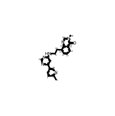 Cc1ccc(-c2cc(NCCc3cccc4c(=O)n(C)cnc34)ncn2)cn1